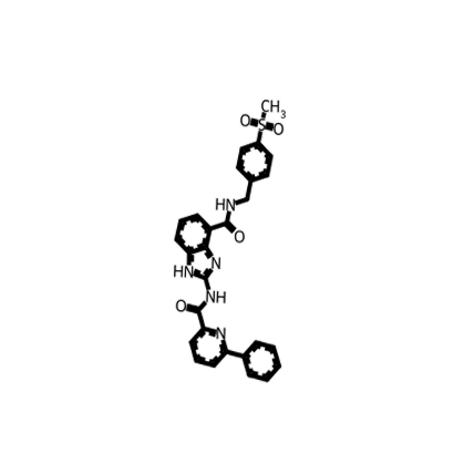 CS(=O)(=O)c1ccc(CNC(=O)c2cccc3[nH]c(NC(=O)c4cccc(-c5ccccc5)n4)nc23)cc1